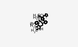 C=C1NCC2=C(C(=C)O1)c1cc(C(C)C)cc[n+]1C(=C)C1C(CC2)c2ccccc2-c2cc(CC3CCCC3)c([Si](C)(C)C)c[n+]21